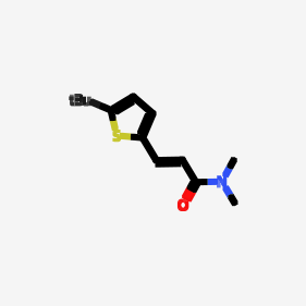 CN(C)C(=O)/C=C/c1ccc(C(C)(C)C)s1